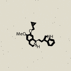 [2H]N1CCc2cc(OC)c(OCC3CC3)cc2[C@H]1CCc1c[nH]c2ccccc12